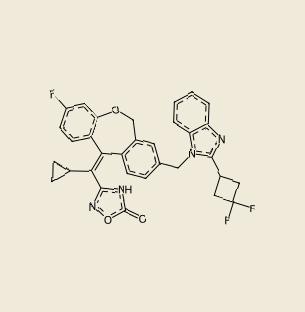 O=c1[nH]c(C(=C2c3ccc(Cn4c(C5CC(F)(F)C5)nc5ccccc54)cc3COc3cc(F)ccc32)C2CC2)no1